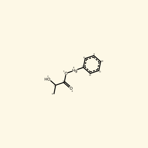 CC(O)C(=O)[O][Hg][c]1ccccc1